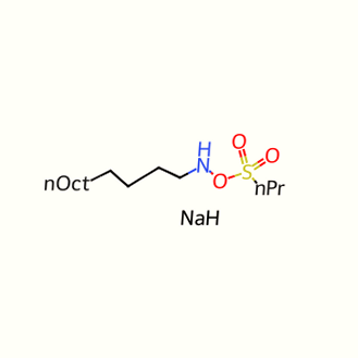 CCCCCCCCCCCCNOS(=O)(=O)CCC.[NaH]